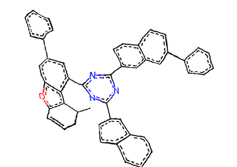 CC1CC=Cc2oc3cc(-c4ccccc4)cc(-c4nc(-c5ccc6ccccc6c5)nc(-c5ccc6ccc(-c7ccccc7)cc6c5)n4)c3c21